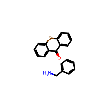 NCc1ccccc1.O=c1c2ccccc2sc2ccccc12